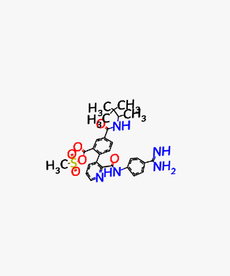 CC(NC(=O)c1ccc(-c2cccnc2C(=O)Nc2ccc(C(=N)N)cc2)c(C(=O)OS(C)(=O)=O)c1)C(C)(C)C